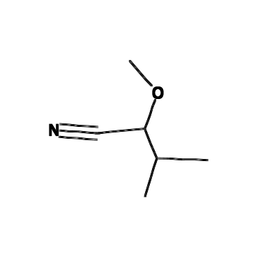 COC(C#N)C(C)C